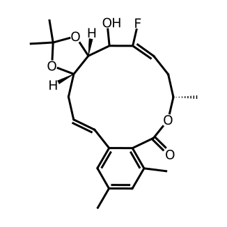 Cc1cc(C)c2c(c1)/C=C/C[C@@H]1OC(C)(C)O[C@@H]1C(O)/C(F)=C\C[C@H](C)OC2=O